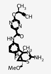 C#C[C@H](C)Oc1cnc(C(=O)Nc2ccc(F)c([C@@]3(C)N=C(N)S[C@@]4(COC)C[C@H]43)c2)cn1